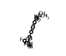 CCC(CC)n1ncn(-c2ccc(N3CCN(c4ccc(-c5ccc(C(F)(F)C(O)(Cn6cnnn6)c6ccc(F)cc6F)nc5)cc4)CC3)cc2)c1=O